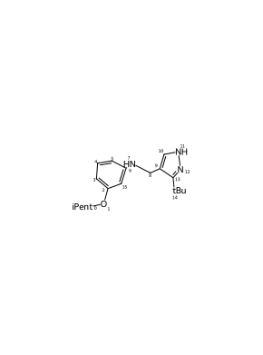 CCCC(C)Oc1cccc(NCc2c[nH]nc2C(C)(C)C)c1